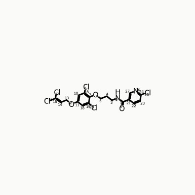 O=C(NCCCOc1c(Cl)cc(OCC=C(Cl)Cl)cc1Cl)c1ccc(Cl)nc1